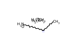 C=C.C=CC.CCCCCCCC/C=C\CCCCCCCCCCCC(N)=O